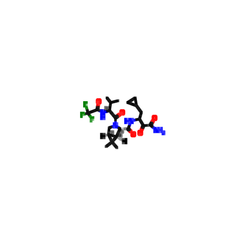 CC(C)[C@H](NC(=O)C(F)(F)F)C(=O)N1C[C@H]2[C@@H]([C@H]1C(=O)NC(CC1CC1)C(=O)C(N)=O)C2(C)C